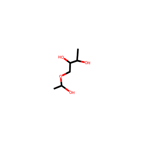 CC(O)OCC(O)C(C)O